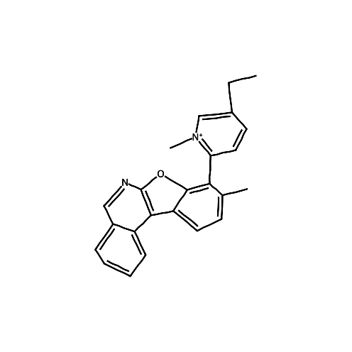 CCc1ccc(-c2c(C)ccc3c2oc2ncc4ccccc4c23)[n+](C)c1